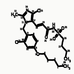 CCCCCOc1ccc(Cn2c(C)nc(Cl)c2/C=C/C(=O)NS(=O)(=O)CCCC)c(Cl)c1